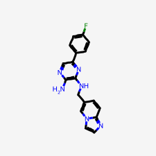 Nc1ncc(-c2ccc(F)cc2)nc1NCc1ccc2nccn2c1